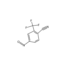 N#Cc1ccc(N=O)cc1C(F)(F)F